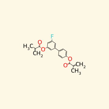 C=C(C)C(=O)Oc1ccc(-c2cc(F)cc(OC(=O)C(=C)C)c2)cc1